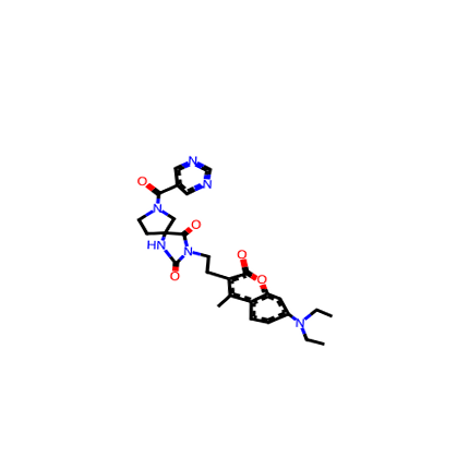 CCN(CC)c1ccc2c(C)c(CCN3C(=O)NC4(CCN(C(=O)c5cncnc5)C4)C3=O)c(=O)oc2c1